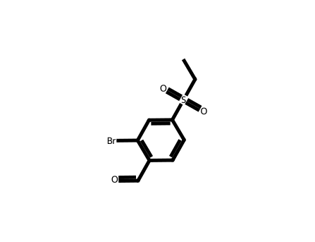 CCS(=O)(=O)c1ccc(C=O)c(Br)c1